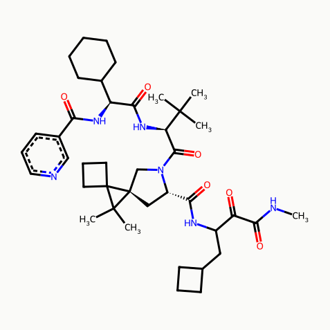 CNC(=O)C(=O)C(CC1CCC1)NC(=O)[C@@H]1C[C@@]2(CN1C(=O)[C@@H](NC(=O)[C@@H](NC(=O)c1cccnc1)C1CCCCC1)C(C)(C)C)C(C)(C)C21CCC1